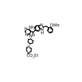 CCOC(=O)N1CCN([C@H]2CC[C@@H](n3nc(-c4ccc5nc(Cc6ccccc6OC)[nH]c5c4)c4c(N)ncnc43)CC2)CC1